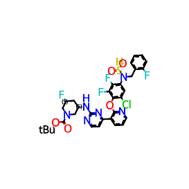 CC(C)(C)OC(=O)N1C[C@@H](F)C[C@H](Nc2nccc(-c3cccnc3Oc3c(Cl)cc(N(Cc4ccccc4F)[SH](=O)=O)c(F)c3F)n2)C1